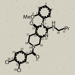 COc1ccccc1-n1c(NCC(C)C)nc2c(c1=O)CCN(C(=O)c1ccc(Cl)c(Cl)c1)C2